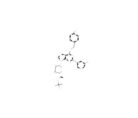 [2H]C([2H])([2H])NC(=O)[C@H]1O[C@@H](n2cnc3c(NCc4ccc(Cl)cc4)nc(-c4cncc(Cl)c4)nc32)[C@H](O)[C@@H]1O